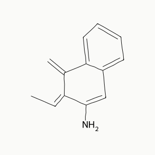 C=c1/c(=C\C)c(N)cc2ccccc12